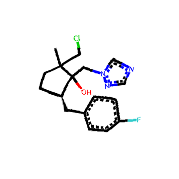 CC1(CCl)CC[C@H](Cc2ccc(F)cc2)C1(O)Cn1cncn1